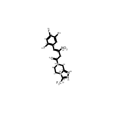 O=C(CC(=Cc1cc(F)c(F)cc1F)[N+](=O)[O-])N1CCn2c(nnc2C(F)(F)F)C1